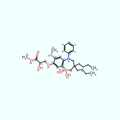 CCCCC1(CCCC)CN(c2ccccc2)c2cc(SC)c(OCC(O)C(=O)OC)cc2S(O)(O)C1